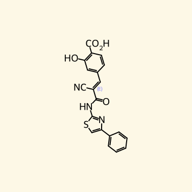 N#C/C(=C\c1ccc(C(=O)O)c(O)c1)C(=O)Nc1nc(-c2ccccc2)cs1